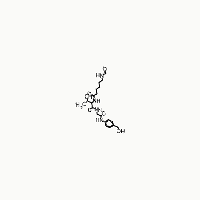 CC(C)C(NC(=O)CCCCCNC=O)C(=O)NCC(=O)Nc1ccc(CO)cc1